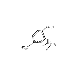 CCN.CCN.O=C(O)c1ccc(C(=O)O)cc1